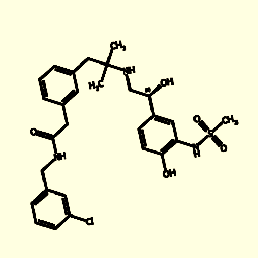 CC(C)(Cc1cccc(CC(=O)NCc2cccc(Cl)c2)c1)NC[C@@H](O)c1ccc(O)c(NS(C)(=O)=O)c1